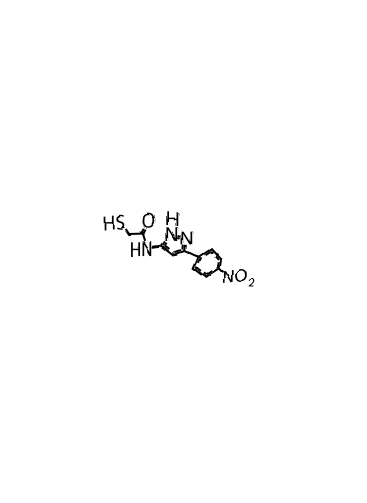 O=C(CS)Nc1cc(-c2ccc([N+](=O)[O-])cc2)n[nH]1